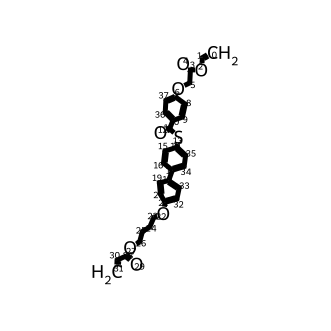 C=COC(=O)COc1ccc(C(=O)Sc2ccc(-c3ccc(OCCCCOC(=O)C=C)cc3)cc2)cc1